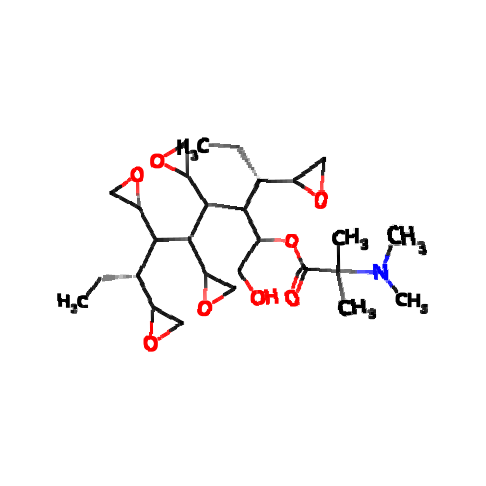 CC[C@H](C1CO1)C(C(CO)OC(=O)C(C)(C)N(C)C)C(C1CO1)C(C1CO1)C(C1CO1)[C@@H](CC)C1CO1